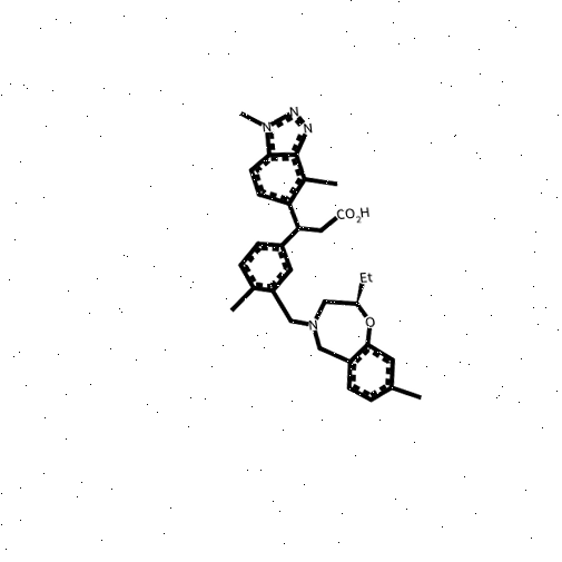 CC[C@@H]1CN(Cc2cc(C(CC(=O)O)c3ccc4c(nnn4C)c3C)ccc2C)Cc2ccc(C)cc2O1